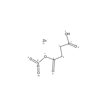 O=C(O)CCC(=O)O[SH](=O)=O.[Zn]